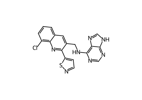 Clc1cccc2cc(CNc3ncnc4[nH]cnc34)c(-c3ccns3)nc12